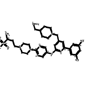 CC(=O)NCC1CCN(Cc2cc(Oc3cnc(N4CCN(CCC(C)S(C)(=O)=O)CC4)nc3)nc(-c3cc(Cl)cc(Cl)c3)c2)CC1